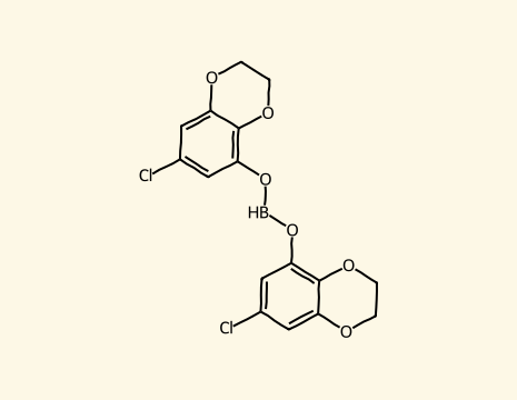 Clc1cc(OBOc2cc(Cl)cc3c2OCCO3)c2c(c1)OCCO2